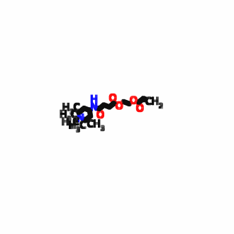 C=CC(=O)OCCOC(=O)CCC(=O)NC1CC(C)(C)N(C)C(C)(C)C1